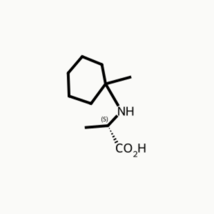 C[C@H](NC1(C)CCCCC1)C(=O)O